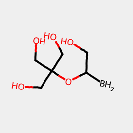 BC(CO)OC(CO)(CO)CO